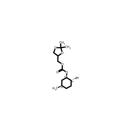 CC(C)[C@@H]1CC[C@@H](C)C[C@H]1OC(=O)OCC1COC(C)(C)O1